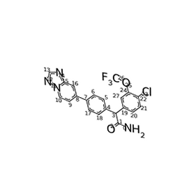 NC(=O)C(c1ccc(-c2ccn3ncnc3c2)cc1)c1ccc(Cl)c(OC(F)(F)F)c1